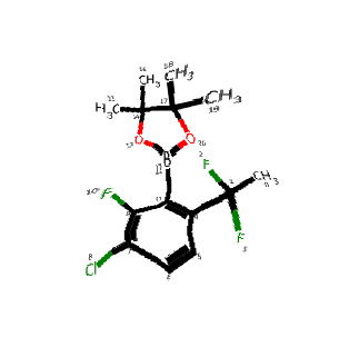 CC(F)(F)c1ccc(Cl)c(F)c1B1OC(C)(C)C(C)(C)O1